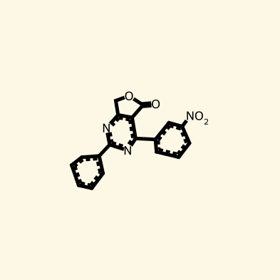 O=C1OCc2nc(-c3ccccc3)nc(-c3cccc([N+](=O)[O-])c3)c21